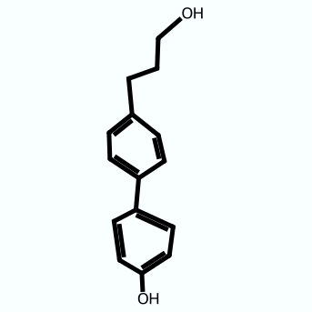 OCCCc1ccc(-c2ccc(O)cc2)cc1